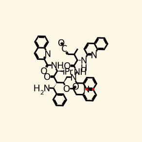 CC(C)[C@H](NC(=O)c1ccc2ccccc2n1)C(=O)[C@@H](C(N)c1ccccc1)[C@@H](CN(Cc1ccccc1)NC(=O)[C@@H](Nc1ccc2ccccc2n1)C(C)C=C=O)OC(=O)Cc1ccccn1